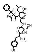 CC(C)C[C@@H](C(=O)O)N(C(=O)CNC(=O)[C@@H](CO)NC(=O)[C@@H](N)Cc1ccc(O)cc1)C(=O)[C@@](F)(N(F)F)C(F)(F)c1ccccc1